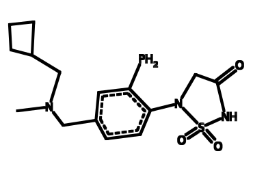 CN(Cc1ccc(N2CC(=O)NS2(=O)=O)c(P)c1)CC1CCC1